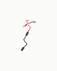 C#CCCC#COP(=O)(O)OCC(C)C